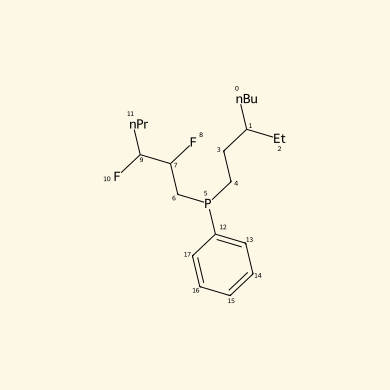 CCCCC(CC)CCP(CC(F)C(F)CCC)c1ccccc1